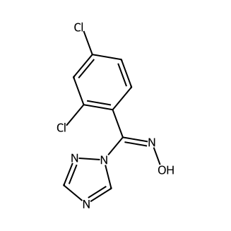 ON=C(c1ccc(Cl)cc1Cl)n1cncn1